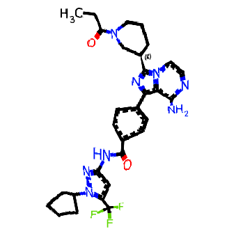 CCC(=O)N1CCC[C@@H](c2nc(-c3ccc(C(=O)Nc4cc(C(F)(F)F)n(C5CCCC5)n4)cc3)c3c(N)nccn23)C1